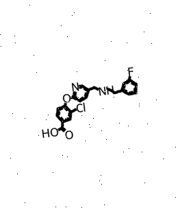 O=C(O)c1ccc(Oc2ccc(CNCCc3cccc(F)c3)cn2)c(Cl)c1